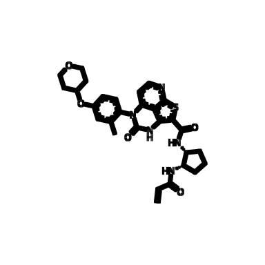 C=CC(=O)N[C@H]1CCC[C@H]1NC(=O)c1sc2nccc3c2c1NC(=O)N3c1ccc(OC2CCOCC2)cc1C